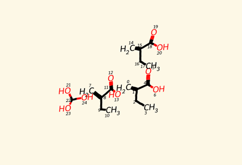 C=C(CC)C(=O)O.C=C(CC)C(=O)O.C=C(CC)C(=O)O.OC(O)O